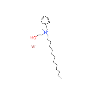 CCCCCCCCCCCCC[N+](C)(CCO)Cc1ccccc1.[Br-]